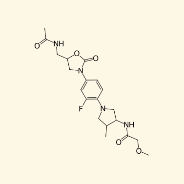 COCC(=O)NC1CN(c2ccc(N3CC(CNC(C)=O)OC3=O)cc2F)CC1C